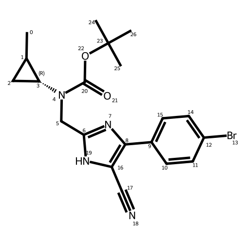 CC1C[C@H]1N(Cc1nc(-c2ccc(Br)cc2)c(C#N)[nH]1)C(=O)OC(C)(C)C